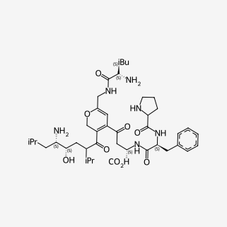 CC[C@H](C)[C@H](N)C(=O)NCC1=CC(C(=O)C[C@H](NC(=O)[C@H](Cc2ccccc2)NC(=O)C2CCCN2)C(=O)O)=C(C(=O)C(C[C@H](O)[C@@H](N)CC(C)C)C(C)C)CO1